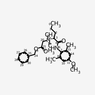 CCCC(C(=O)Nc1c(C)cc(OC)cc1C)[N+](C)(C)CC(=O)OCc1ccccc1